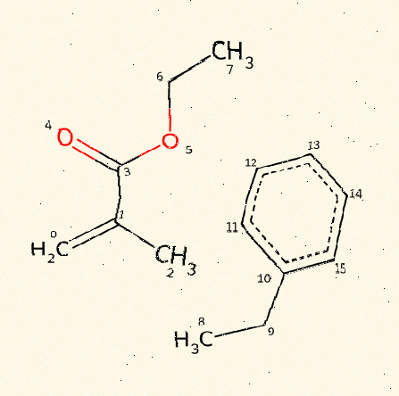 C=C(C)C(=O)OCC.CCc1ccccc1